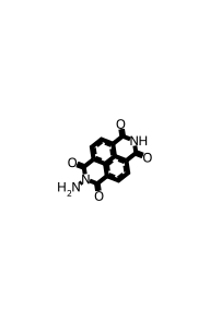 NN1C(=O)c2ccc3c4c(ccc(c24)C1=O)C(=O)NC3=O